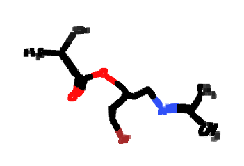 CC(C)=NCC(CBr)OC(=O)C(C)C(C)(C)C